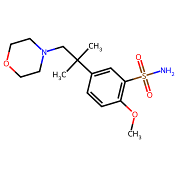 COc1ccc(C(C)(C)CN2CCOCC2)cc1S(N)(=O)=O